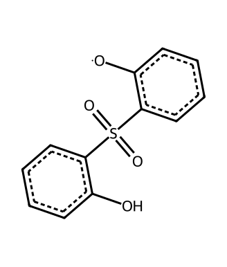 [O]c1ccccc1S(=O)(=O)c1ccccc1O